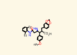 CCCOc1ccc(C(C(=N)CC(=O)Nc2c(CC)cccc2CC)C(Cc2ccc3c(c2)OCO3)C(=O)O)cc1